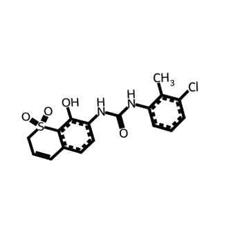 Cc1c(Cl)cccc1NC(=O)Nc1ccc2c(c1O)S(=O)(=O)CC=C2